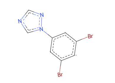 Brc1[c]c(Br)cc(-n2cncn2)c1